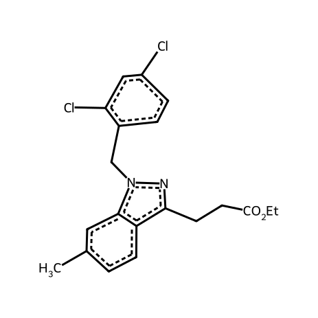 CCOC(=O)CCc1nn(Cc2ccc(Cl)cc2Cl)c2cc(C)ccc12